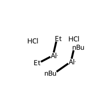 CCC[CH2][Al][CH2]CCC.C[CH2][Al][CH2]C.Cl.Cl